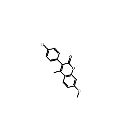 COc1ccc2c(C)c(-c3ccc(Cl)cc3)c(=O)oc2c1